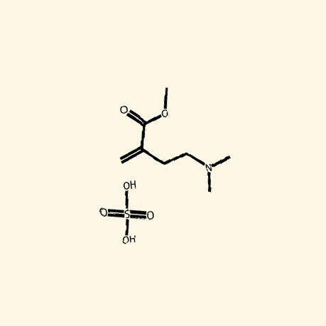 C=C(CCN(C)C)C(=O)OC.O=S(=O)(O)O